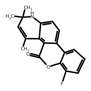 CC1=CC(C)(C)Nc2ccc3c(c21)c(=O)oc1c(F)cccc13